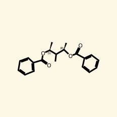 CC([C@H](C)OC(=O)c1ccccc1)[C@@H](C)OC(=O)c1ccccc1